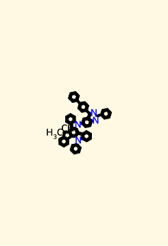 CC1(C)c2ccccc2-c2c1c1c3ccccc3n(-c3ccc4nc(-c5ccccc5)nc(-c5ccc(-c6ccccc6)cc5)c4c3)c1c1c3ccccc3n(-c3ccccc3)c21